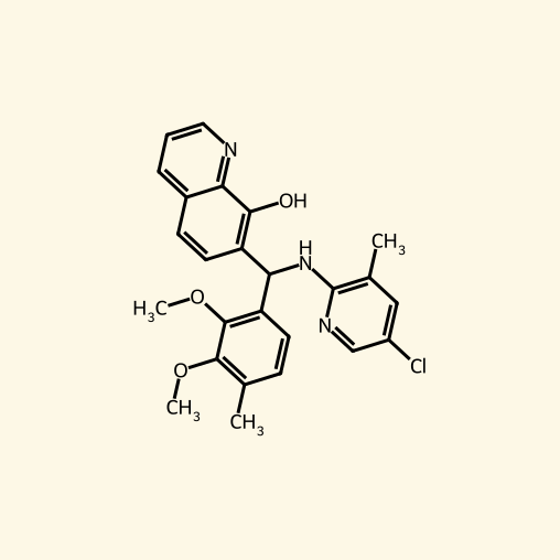 COc1c(C)ccc(C(Nc2ncc(Cl)cc2C)c2ccc3cccnc3c2O)c1OC